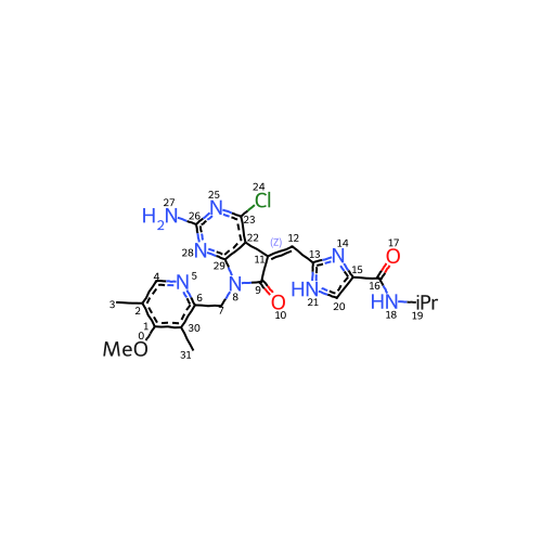 COc1c(C)cnc(CN2C(=O)/C(=C\c3nc(C(=O)NC(C)C)c[nH]3)c3c(Cl)nc(N)nc32)c1C